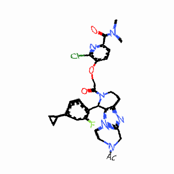 CC(=O)N1CCn2c(nc3c2C(c2ccc(C4CC4)cc2F)N(C(=O)COc2ccc(C(=O)N(C)C)nc2Cl)CC3)C1